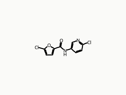 O=C(Nc1ccc(Cl)nc1)c1ccc(Cl)o1